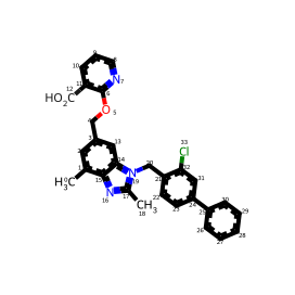 Cc1cc(COc2ncccc2C(=O)O)cc2c1nc(C)n2Cc1ccc(-c2ccccc2)cc1Cl